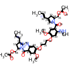 C/C=C/C1=CN(C(=O)c2cc(OC)c(OCCCOc3cc(NC)c(C(=O)N4C=C(/C=C/C)C[C@H]4COC(C)=O)cc3OC)cc2N)[C@H](COC(C)=O)C1